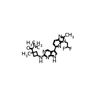 Cc1nc2ccc(-c3c[nH]c4nc(NC5CC(C)(C(=O)N(C)C)C5)ncc34)nc2n1CC(F)F